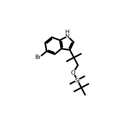 CC(C)(CO[Si](C)(C)C(C)(C)C)c1c[nH]c2ccc(Br)cc12